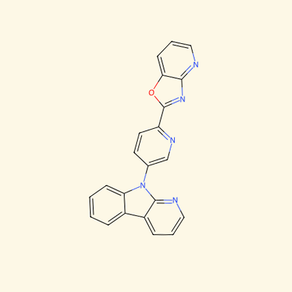 c1cnc2nc(-c3ccc(-n4c5ccccc5c5cccnc54)cn3)oc2c1